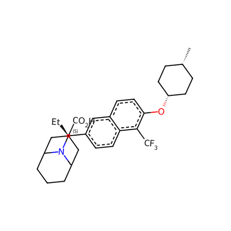 CC[C@@H](c1ccc2c(C(F)(F)F)c(O[C@H]3CC[C@@H](C)CC3)ccc2c1)N1C2CCCC1CC(C(=O)O)C2